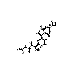 O=C(NCC(F)F)c1cnn2ccc(-c3c[nH]c4nc(C5CCC5)ncc34)cc12